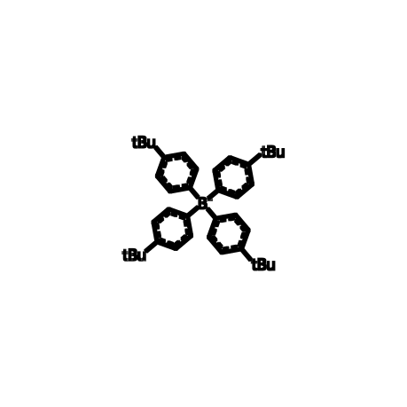 CC(C)(C)c1ccc([B-](c2ccc(C(C)(C)C)cc2)(c2ccc(C(C)(C)C)cc2)c2ccc(C(C)(C)C)cc2)cc1